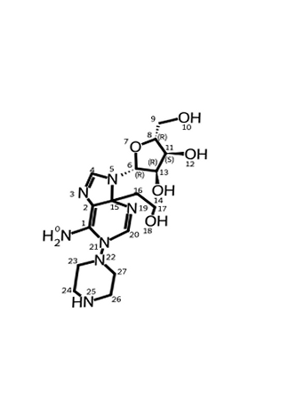 NC1=C2N=CN([C@@H]3O[C@H](CO)[C@@H](O)[C@H]3O)C2(CCO)N=CN1N1CCNCC1